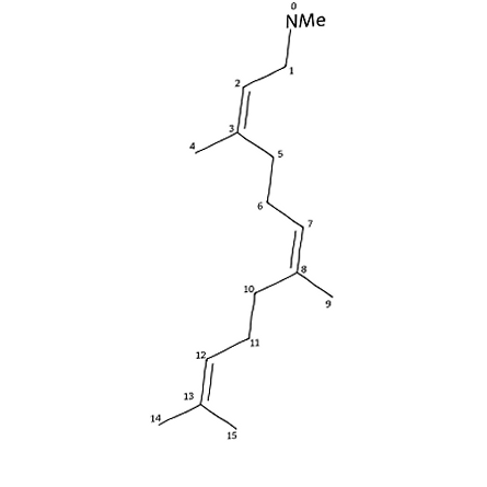 CNCC=C(C)CCC=C(C)CCC=C(C)C